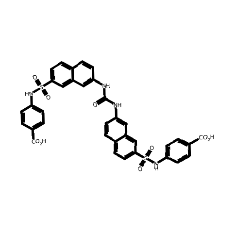 O=C(Nc1ccc2ccc(S(=O)(=O)Nc3ccc(C(=O)O)cc3)cc2c1)Nc1ccc2ccc(S(=O)(=O)Nc3ccc(C(=O)O)cc3)cc2c1